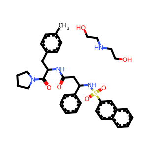 Cc1ccc(CC(NC(=O)CC(NS(=O)(=O)c2ccc3ccccc3c2)c2ccccc2)C(=O)N2CCCC2)cc1.OCCNCCO